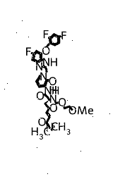 COCCOC(=O)N[C@@H](CC/C=C/C(=O)N(C)C)C(=O)Nc1cccn(Cc2nc3cc(F)cc(OCc4ccc(F)cc4F)c3[nH]2)c1=O